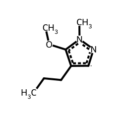 CCCc1[c]nn(C)c1OC